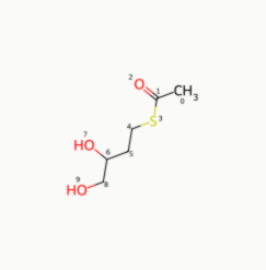 CC(=O)SCCC(O)CO